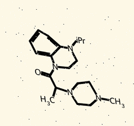 CC(C(=O)N1CCN(C(C)C)c2ccccc21)N1CCN(C)CC1